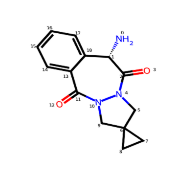 N[C@@H]1C(=O)N2CC3(CC3)CN2C(=O)c2ccccc21